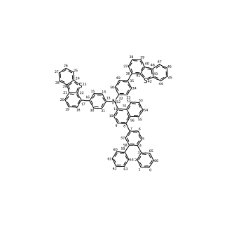 c1ccc(-c2ccc(-c3ccc(N(c4ccc(-c5cccc6c5sc5ccccc56)cc4)c4ccc(-c5cccc6c5sc5ccccc56)cc4)c4ccccc34)cc2-c2ccccc2)cc1